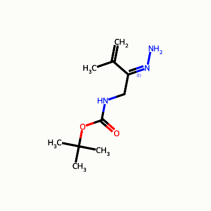 C=C(C)/C(CNC(=O)OC(C)(C)C)=N\N